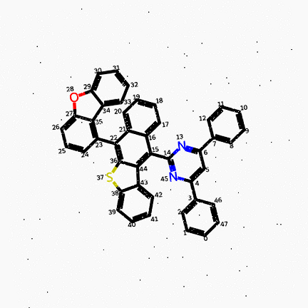 c1ccc(-c2cc(-c3ccccc3)nc(-c3c4ccccc4c(-c4cccc5oc6ccccc6c45)c4sc5ccccc5c34)n2)cc1